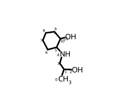 CC(O)CNC1CCC[CH]C1O